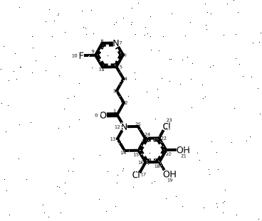 O=C(CCCc1cncc(F)c1)N1CCc2c(Cl)c(O)c(O)c(Cl)c2C1